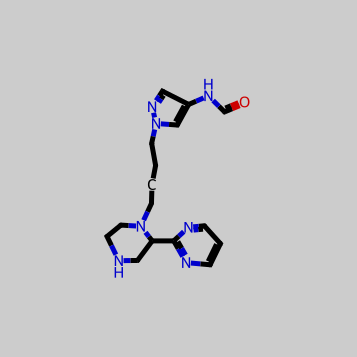 O=CNc1cnn(CCCCN2CCNCC2c2ncccn2)c1